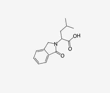 CC(C)CC(C(=O)O)N1Cc2ccccc2C1=O